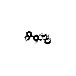 O=c1cnc2ncccc2n1Cc1c(F)cc(-c2cccc3c2C=NC3)cc1F